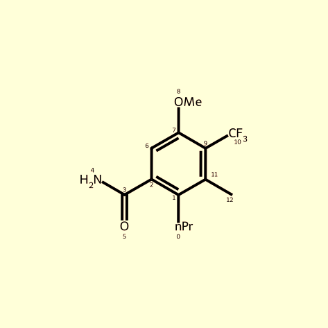 CCCc1c(C(N)=O)cc(OC)c(C(F)(F)F)c1C